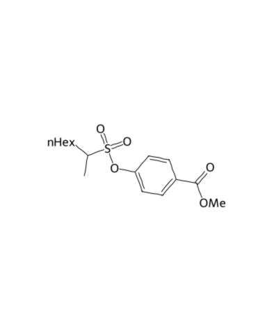 CCCCCCC(C)S(=O)(=O)Oc1ccc(C(=O)OC)cc1